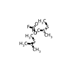 CS[S+](C)C.CS[S+](C)C.[O-]B([O-])F